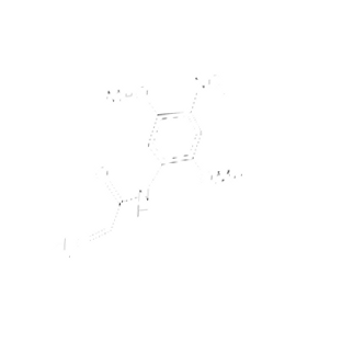 C=CC(=O)Nc1cc(OC)c([N+](=O)[O-])cc1OC